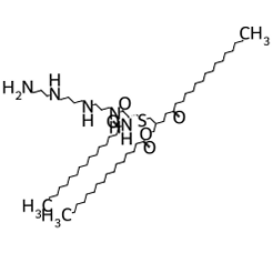 CCCCCCCCCCCCCCCC(=O)CCC(COC(=O)CCCCCCCCCCCCCCC)CSC[C@H](NC(=O)CCCCCCCCCCCCCCC)C(=O)NCCCNCCCCNCCCN